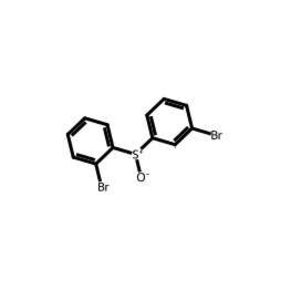 [O-][S+](c1[c]c(Br)ccc1)c1ccccc1Br